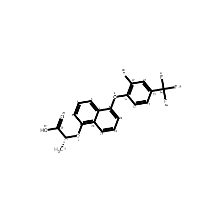 C[C@@H](Oc1cccc2c(Oc3ccc(C(F)(F)F)cc3F)cccc12)C(=O)O